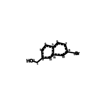 OCc1ccc2ccc(Br)cc2c1